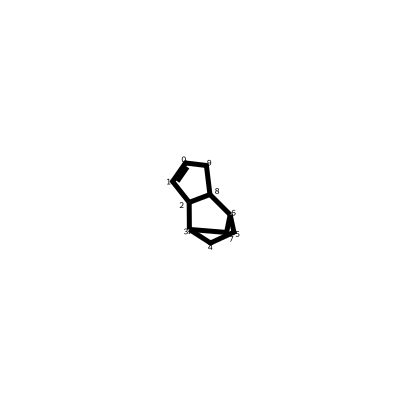 C1=CC2[C]3CCC(C3)C2C1